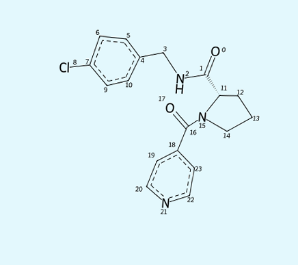 O=C(NCc1ccc(Cl)cc1)[C@@H]1CCCN1C(=O)c1ccncc1